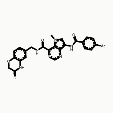 CC(=O)c1ccc(C(=O)Nc2cn(C)c3c(C(=O)NCc4ccc5c(c4)NC(=O)CO5)ncnc23)cc1